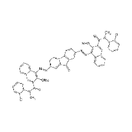 COc1c(C(=O)N(C)c2ccccc2Cl)cc2ccccc2c1N=Nc1ccc2c(c1)C(=O)c1cc(N=Nc3c(OC)c(C(=O)N(C)c4ccccc4Cl)cc4ccccc34)ccc1-2